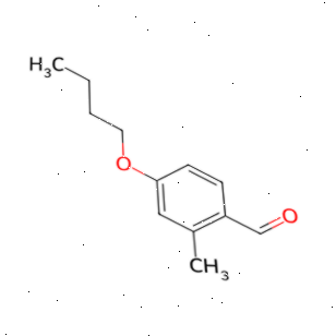 CCCCOc1ccc(C=O)c(C)c1